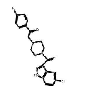 O=C(CN1CCN(C(=O)c2n[nH]c3ccc(Cl)cc23)CC1)c1ccc(F)cc1